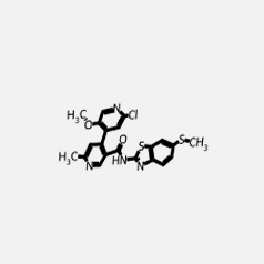 COc1cnc(Cl)cc1-c1cc(C)ncc1C(=O)Nc1nc2ccc(SC)cc2s1